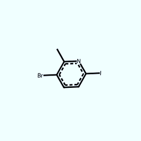 Cc1nc(I)ccc1Br